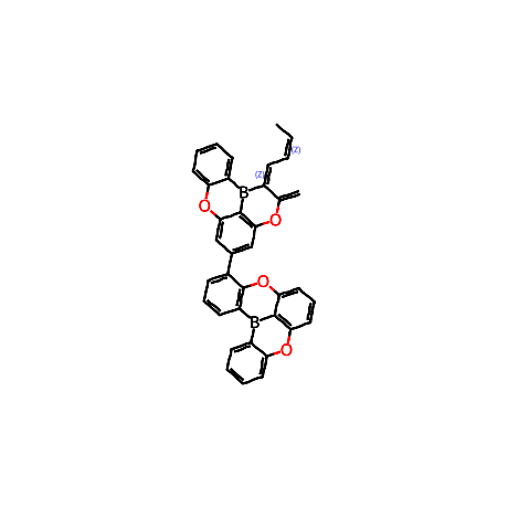 C=C1Oc2cc(-c3cccc4c3Oc3cccc5c3B4c3ccccc3O5)cc3c2B(/C1=C/C=C\C)c1ccccc1O3